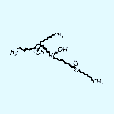 CCCCC=CCCC(CCC=CCCCC)C(CCCCCCN(CCO)CCCCCCCC(=O)OCCCCCCCCC)C(=O)O